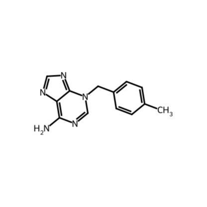 Cc1ccc(Cn2cnc(N)c3ncnc2-3)cc1